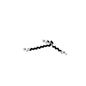 CCCCCCCCCCCCCCc1n(CCCCCCC)cc[n+]1C